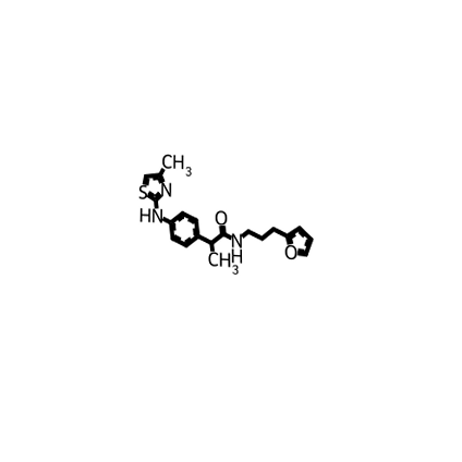 Cc1csc(Nc2ccc(C(C)C(=O)NCCCc3ccco3)cc2)n1